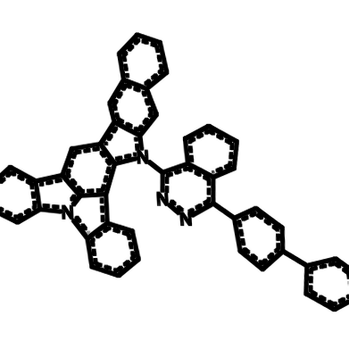 c1ccc(-c2ccc(-c3nnc(-n4c5cc6ccccc6cc5c5cc6c7ccccc7n7c8ccccc8c(c54)c67)c4ccccc34)cc2)cc1